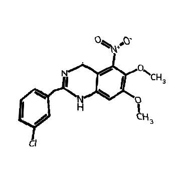 COc1cc2c(c([N+](=O)[O-])c1OC)[CH]N=C(c1cccc(Cl)c1)N2